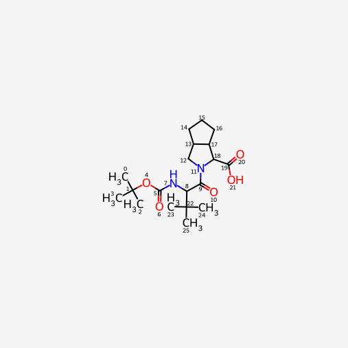 CC(C)(C)OC(=O)NC(C(=O)N1CC2CCCC2C1C(=O)O)C(C)(C)C